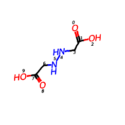 O=C(O)CNNCC(=O)O